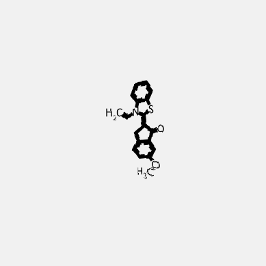 C=CN1/C(=C2\Cc3ccc(OC)cc3C2=O)Sc2ccccc21